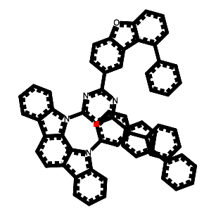 c1ccc(-c2ccc(-c3nc(-c4ccc5oc6cccc(-c7ccccc7)c6c5c4)nc(-n4c5ccccc5c5ccc6c7ccccc7n(-c7cccc(-c8ccccc8)c7)c6c54)n3)cc2)cc1